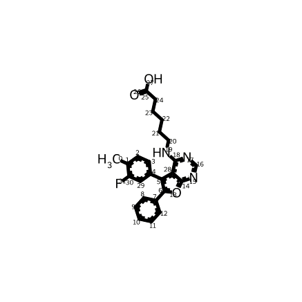 Cc1ccc(-c2c(-c3ccccc3)oc3ncnc(NCCCCCC(=O)O)c23)cc1F